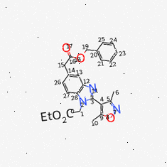 CCOC(=O)Cn1c(-c2c(C)noc2C)nc2cc(CC(=O)OCc3ccccc3)ccc21